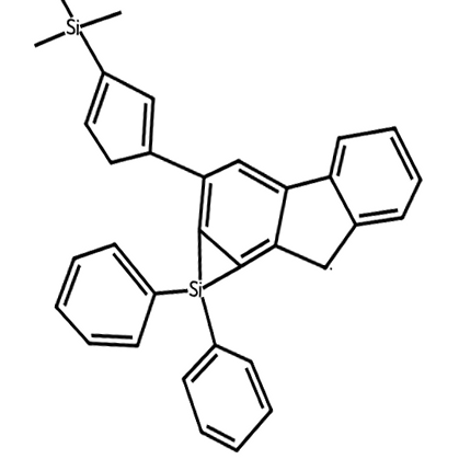 C[Si](C)(C)C1=CCC(c2cc3c(c4c2[Si]4(c2ccccc2)c2ccccc2)[CH]c2ccccc2-3)=C1